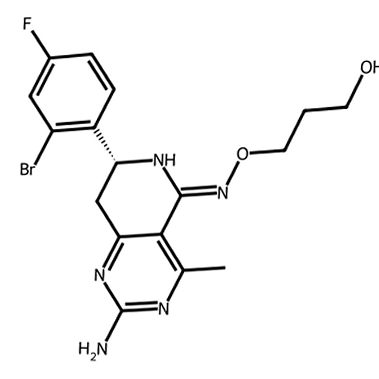 Cc1nc(N)nc2c1/C(=N/OCCCO)N[C@@H](c1ccc(F)cc1Br)C2